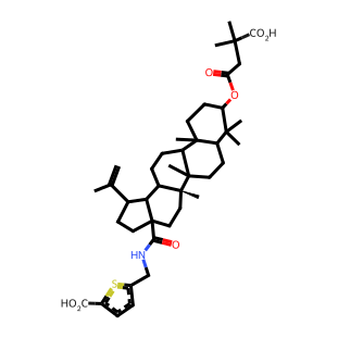 C=C(C)C1CCC2(C(=O)NCc3ccc(C(=O)O)s3)CC[C@]3(C)C(CCC4C5(C)CCC(OC(=O)CC(C)(C)C(=O)O)C(C)(C)C5CCC43C)C12